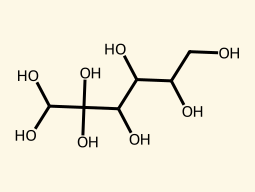 OCC(O)C(O)C(O)C(O)(O)C(O)O